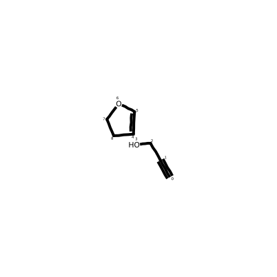 C#CCO.C1=COCC1